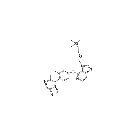 Cc1cc(Oc2nccc3ncn(COCC[Si](C)(C)C)c23)ccc1-c1c(C)ncc2nccn12